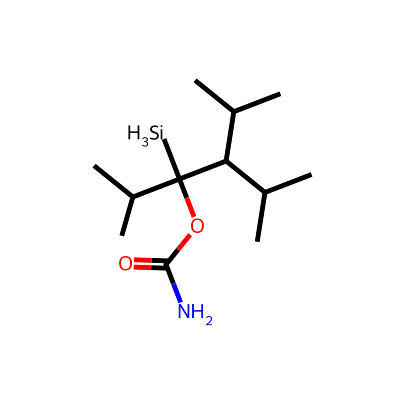 CC(C)C(C(C)C)C([SiH3])(OC(N)=O)C(C)C